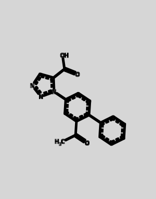 CC(=O)c1cc(-n2nncc2C(=O)O)ccc1-c1ccccc1